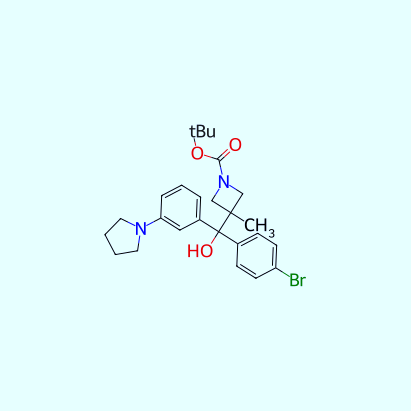 CC(C)(C)OC(=O)N1CC(C)(C(O)(c2ccc(Br)cc2)c2cccc(N3CCCC3)c2)C1